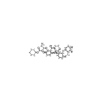 CC(OC(=O)OC1CCCCC1)Oc1c2n(ccc1=O)N[C@@H]1C(c3cccc4c3Cc3ccc(F)c(F)c3CS4)OCCN1C2=O